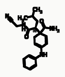 CC(C)C[C@H](C(=O)NCC#N)C1(C(N)=O)C=CC(Nc2ccccc2)=CC1